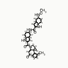 CONc1ccc2[nH]c(C(=O)Nc3ccc4[nH]c(C(=O)N5CC6CC67C5=CC(=O)c5scc(C)c57)cc4c3)cc2c1